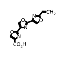 C=Cc1nc(-c2nc(-c3nc(C(=O)O)co3)co2)co1